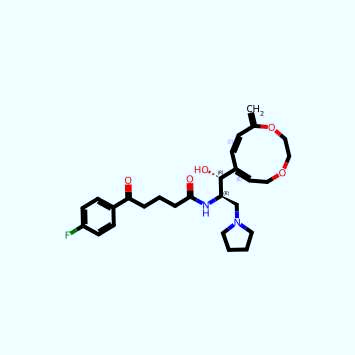 C=C1/C=C\C([C@@H](O)[C@@H](CN2CCCC2)NC(=O)CCCC(=O)c2ccc(F)cc2)=C/COCCO1